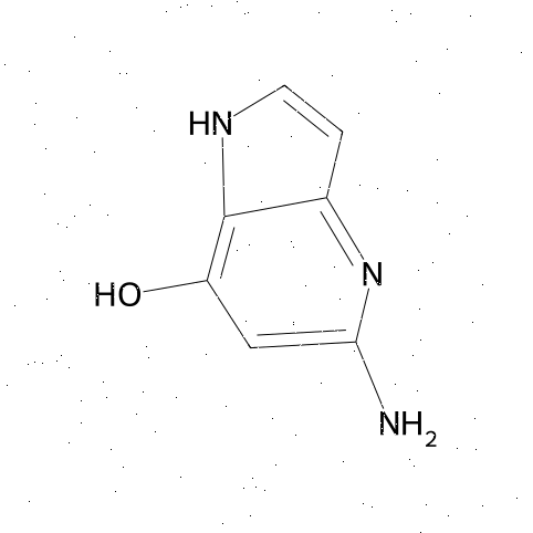 Nc1cc(O)c2[nH]ccc2n1